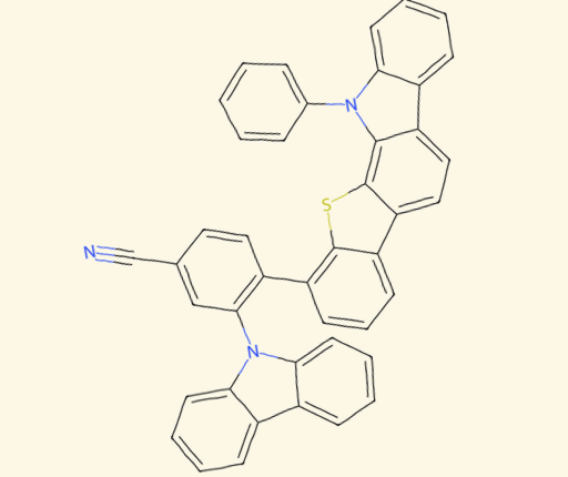 N#Cc1ccc(-c2cccc3c2sc2c3ccc3c4ccccc4n(-c4ccccc4)c32)c(-n2c3ccccc3c3ccccc32)c1